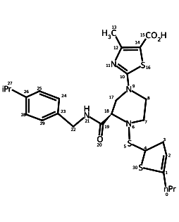 CCCC1=CCC(SN2CCN(c3nc(C)c(C(=O)O)s3)C[C@@H]2C(=O)NCc2ccc(C(C)C)cc2)S1